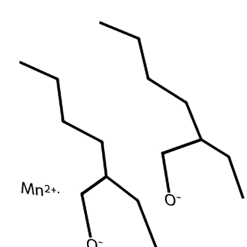 CCCCC(CC)C[O-].CCCCC(CC)C[O-].[Mn+2]